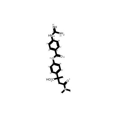 CN(C)C(=O)CC(C)(C(=O)O)c1ccc(OC(=O)c2ccc(NC(=N)N)cc2)cc1